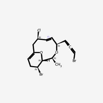 C[C@@H]1O[C@H](C=C=CBr)/C=C/[C@H](Cl)CC2=CC[C@H](Br)[C@@H]1O2